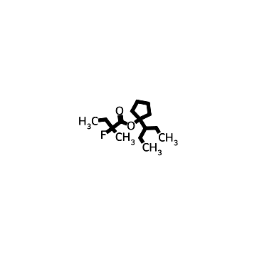 CCC(CC)C1(OC(=O)C(C)(F)CC)CCCC1